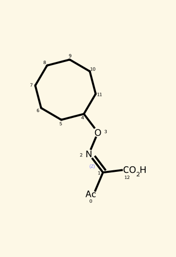 CC(=O)/C(=N/OC1CCCCCCC1)C(=O)O